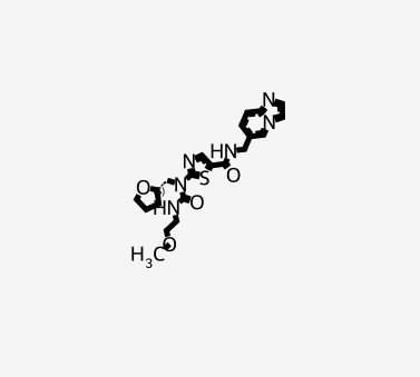 COCCNC(=O)N(C[C@@H]1CCCO1)c1ncc(C(=O)NCc2ccc3nccn3c2)s1